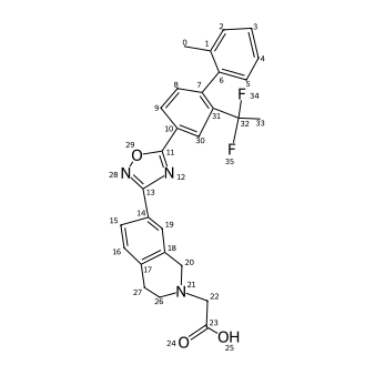 Cc1ccccc1-c1ccc(-c2nc(-c3ccc4c(c3)CN(CC(=O)O)CC4)no2)cc1C(C)(F)F